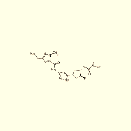 COCc1cc(C(=O)Nc2cc([C@@H]3C[C@H](OC(=O)NC(C)C)[C@@H](F)C3)[nH]n2)n(C)n1